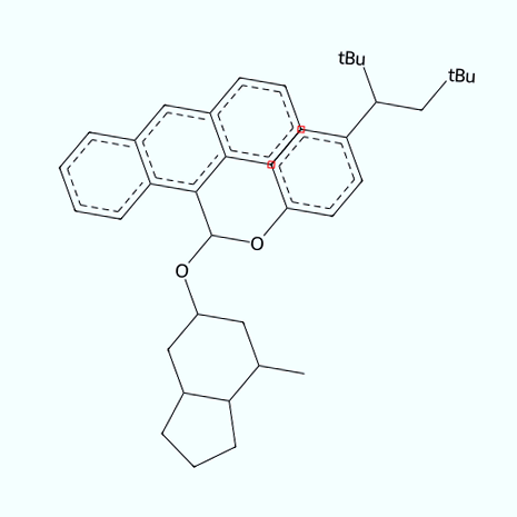 CC1CC(OC(Oc2ccc(C(CC(C)(C)C)C(C)(C)C)cc2)c2c3ccccc3cc3ccccc23)CC2CCCC12